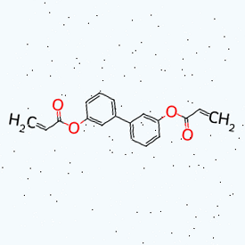 C=CC(=O)Oc1cccc(-c2cccc(OC(=O)C=C)c2)c1